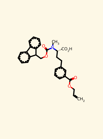 C=CCOC(=O)c1cccc(CC[C@@H](C(=O)O)N(C)C(=O)OCC2c3ccccc3-c3ccccc32)c1